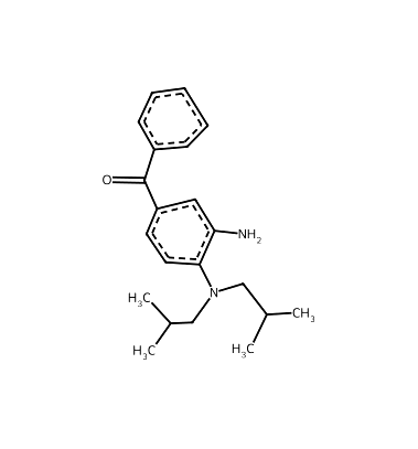 CC(C)CN(CC(C)C)c1ccc(C(=O)c2ccccc2)cc1N